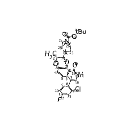 C[C@@H](Oc1ccc2c(-c3ccc(F)cc3Cl)c[nH]c(=O)c2c1)C(=O)N1CC2CC1CN2C(=O)OC(C)(C)C